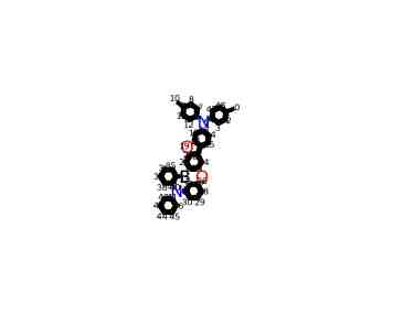 Cc1ccc(N(c2ccc(C)cc2)c2ccc3c(c2)oc2cc4c(cc23)Oc2cccc3c2B4c2ccccc2N3c2ccccc2)cc1